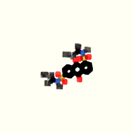 CCC(N(CC)S(=O)(=O)c1ccc2c(c1)C(=O)c1cccc(S(=O)(=O)N(CC)C(CC)S(=O)(=O)O)c1C2=O)S(=O)(=O)O